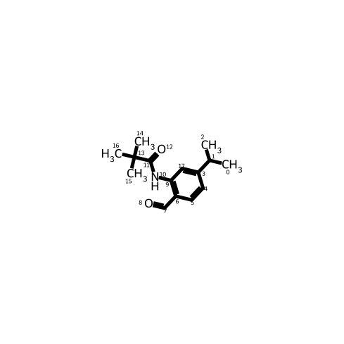 CC(C)c1ccc(C=O)c(NC(=O)C(C)(C)C)c1